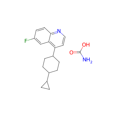 Fc1ccc2nccc(C3CCC(C4CC4)CC3)c2c1.NC(=O)O